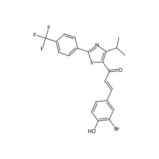 CC(C)c1nc(-c2ccc(C(F)(F)F)cc2)sc1C(=O)C=Cc1ccc(O)c(Br)c1